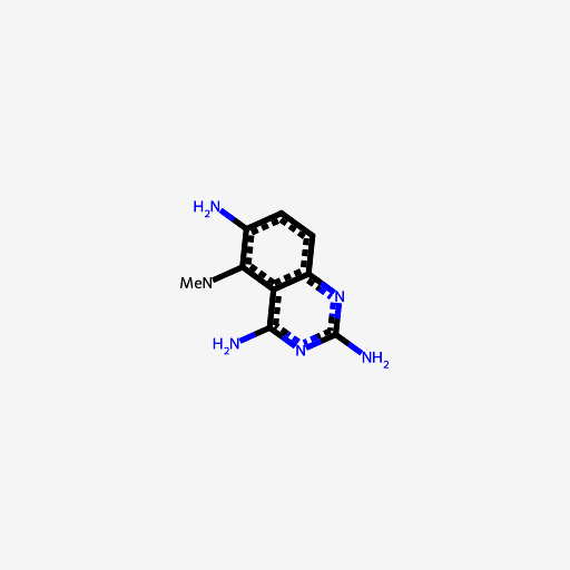 CNc1c(N)ccc2nc(N)nc(N)c12